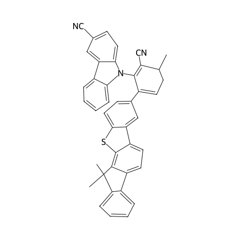 CC1CC=C(c2ccc3sc4c5c(ccc4c3c2)-c2ccccc2C5(C)C)C(n2c3ccccc3c3cc(C#N)ccc32)=C1C#N